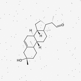 C[C@H](C=O)[C@H]1CC[C@H]2[C@@H]3CC=C4C[C@@](C)(O)CC[C@]4(C)[C@H]3CC[C@]12C